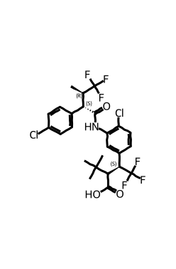 C[C@H]([C@H](C(=O)Nc1cc([C@H](C(C(=O)O)C(C)(C)C)C(F)(F)F)ccc1Cl)c1ccc(Cl)cc1)C(F)(F)F